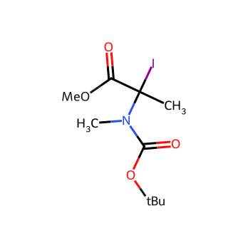 COC(=O)C(C)(I)N(C)C(=O)OC(C)(C)C